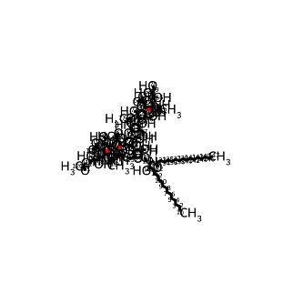 CCCCCCCCCCCCC/C=C/[C@@H](O)[C@H](CO[C@@H]1OC(CO)[C@@H](O[C@@H]2OC(CO)[C@H](O[C@@H]3OC(CO)[C@H](O)[C@H](O[C@@H]4OC(CO)[C@H](O)[C@H](O[C@]5(C(=O)O)CC(O)[C@@H](NC(C)=O)C([C@H](O)[C@H](O)CO)O5)C4O)C3NC(C)=O)[C@H](O[C@]3(C(=O)O)CC(O)[C@@H](NC(C)=O)C([C@H](O)[C@@H](CO)O[C@]4(C(=O)O)CC(O)[C@@H](NC(C)=O)C([C@H](O)[C@H](O)COC(C)=O)O4)O3)C2O)[C@H](O)C1O)NC(=O)CCCCCCCCCCCCCCC